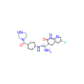 N/C(=C\Nc1ccc(C(=O)N2CCNCC2)cc1)c1cc2cc(F)cnc2[nH]c1=O